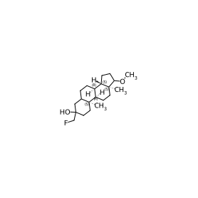 COC1CC[C@H]2[C@@H]3CCC4CC(O)(CF)CC[C@]4(C)[C@@H]3CC[C@]12C